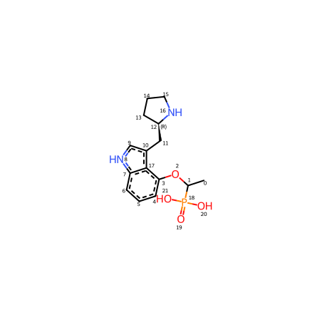 CC(Oc1cccc2[nH]cc(C[C@H]3CCCN3)c12)P(=O)(O)O